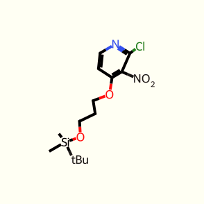 CC(C)(C)[Si](C)(C)OCCCOc1ccnc(Cl)c1[N+](=O)[O-]